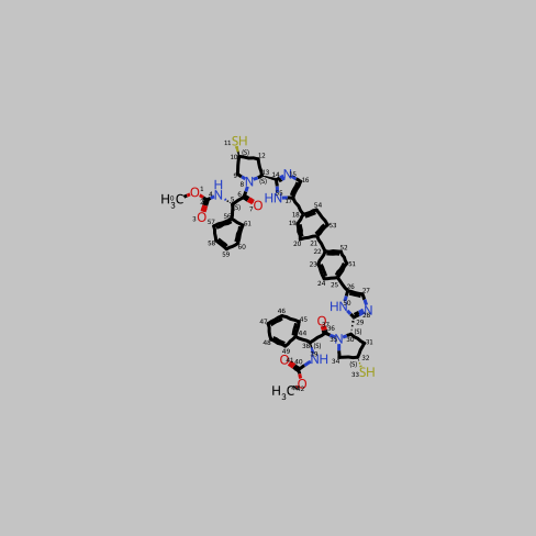 COC(=O)N[C@H](C(=O)N1C[C@@H](S)C[C@H]1c1ncc(-c2ccc(-c3ccc(-c4cnc([C@@H]5C[C@H](S)CN5C(=O)[C@@H](NC(=O)OC)c5ccccc5)[nH]4)cc3)cc2)[nH]1)c1ccccc1